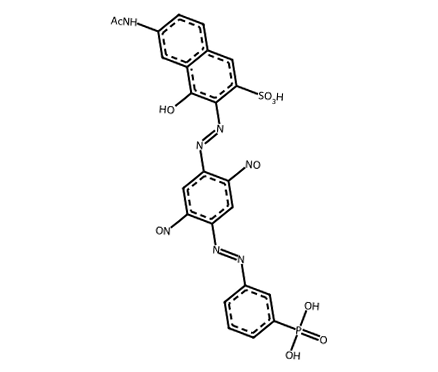 CC(=O)Nc1ccc2cc(S(=O)(=O)O)c(/N=N/c3cc(N=O)c(/N=N/c4cccc(P(=O)(O)O)c4)cc3N=O)c(O)c2c1